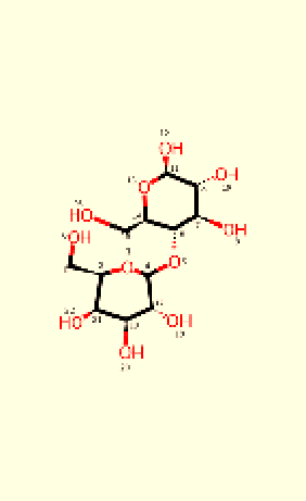 OC[C@H]1OC(O[C@H]2[C@H](O)[C@@H](O)[C@H](O)O[C@@H]2CO)[C@H](O)[C@@H](O)[C@H]1O